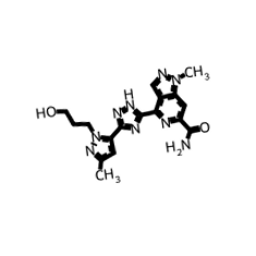 Cc1cc(-c2n[nH]c(-c3nc(C(N)=O)cc4c3cnn4C)n2)n(CCCO)n1